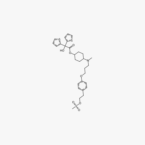 CN(CCCOc1ccc(CCOS(C)(=O)=O)cc1)C1CCC(OC(=O)C(O)(c2cccs2)c2cccs2)CC1